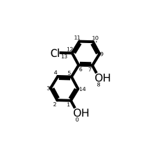 Oc1cccc(-c2c(O)c[c]cc2Cl)c1